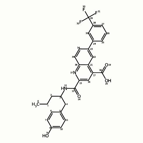 CCCC(Cc1ccc(O)cc1)NC(=O)c1cc(C(=O)O)c2cc(-c3cccc(C(F)(F)F)c3)ccc2n1